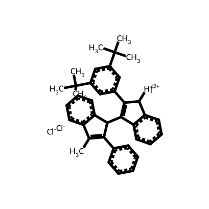 CC1=C(c2ccccc2)C(C2=C(c3cc(C(C)(C)C)cc(C(C)(C)C)c3)[CH]([Hf+2])c3ccccc32)c2ccccc21.[Cl-].[Cl-]